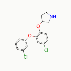 Clc1cccc(Oc2cc(Cl)ccc2OC2CCNC2)c1